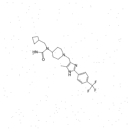 CNC(=O)N(CC1CCC1)C1CCN(Cc2nc(-c3ccc(C(F)(F)F)cc3)[nH]c2C)CC1